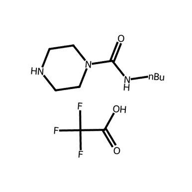 CCCCNC(=O)N1CCNCC1.O=C(O)C(F)(F)F